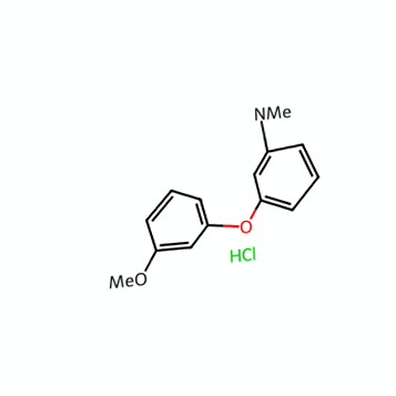 CNc1cccc(Oc2cccc(OC)c2)c1.Cl